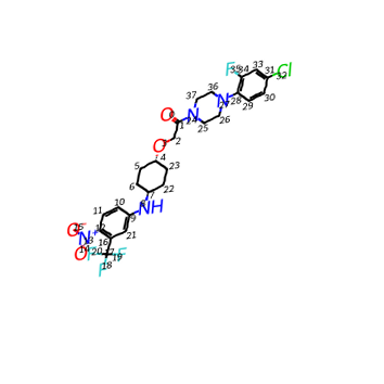 O=C(CO[C@H]1CC[C@H](Nc2ccc([N+](=O)[O-])c(C(F)(F)F)c2)CC1)N1CCN(c2ccc(Cl)cc2F)CC1